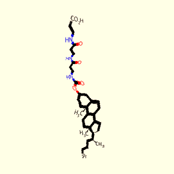 CC(C)CCC[C@@H](C)[C@H]1CCC2C3CC=C4CC(OC(=O)NCCC(=O)NCCC(=O)NCCC(=O)O)CC[C@]4(C)C3CC[C@@]21C